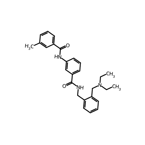 CCN(CC)Cc1ccccc1CNC(=O)c1cccc(NC(=O)c2cccc(C)c2)c1